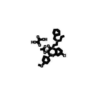 CCCN(CCN1C(=O)[C@H](OC(C)=O)[C@H](c2ccc(OC)cc2)Sc2cc(Cl)ccc21)Cc1ccccc1.O=C(O)C(=O)O